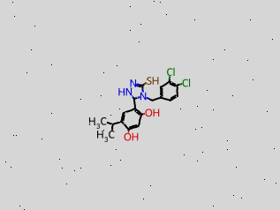 CC(C)c1cc(C2NN=C(S)N2Cc2ccc(Cl)c(Cl)c2)c(O)cc1O